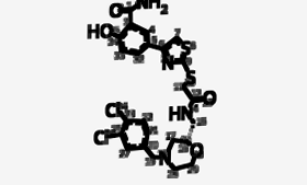 NC(=O)c1cc(-c2csc(SCC(=O)NC[C@H]3CN(Cc4ccc(Cl)c(Cl)c4)CCO3)n2)ccc1O